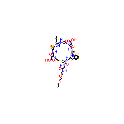 CCCC[C@@H]1NC(=O)[C@H](CS)NC(=O)[C@H](CC(=O)O)NC(=O)CSC[C@@H](C(=O)NCC(=O)NCCOCCOCCC)NC(=O)[C@H](Cc2ccccc2)NC(=O)[C@H](CS)NC(=O)[C@H](CC(=O)O)NC(=O)CNC1=O